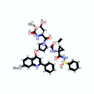 C=C[C@@H]1C[C@]1(NC(=O)[C@@H]1C[C@@H](Oc2cc(-c3ccccc3)nc3cc(OC)ccc23)CN1C(=O)[C@H](CCO)NC(=O)OC(C)(C)C)C(=O)N[S+]([O-])c1ccccc1